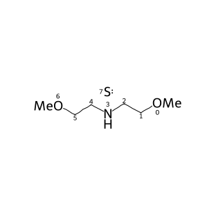 COCCNCCOC.[S]